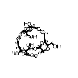 OCC1OC2COCC3OC(O)C(COCC4OC(O)C(COCC1OC2O)OC4CO)OC3CO